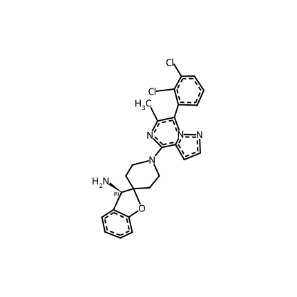 Cc1nc(N2CCC3(CC2)Oc2ccccc2[C@H]3N)c2ccnn2c1-c1cccc(Cl)c1Cl